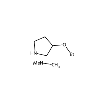 CCOC1CCNC1.CNC